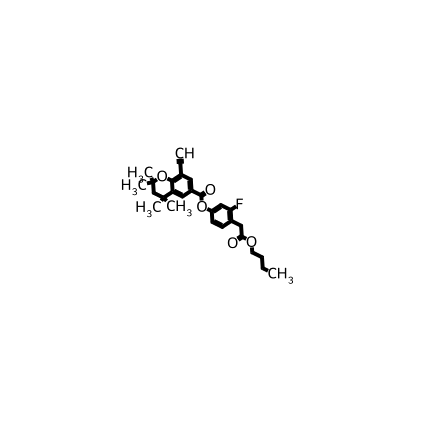 C#Cc1cc(C(=O)Oc2ccc(CC(=O)OCCCC)c(F)c2)cc2c1OC(C)(C)CC2(C)C